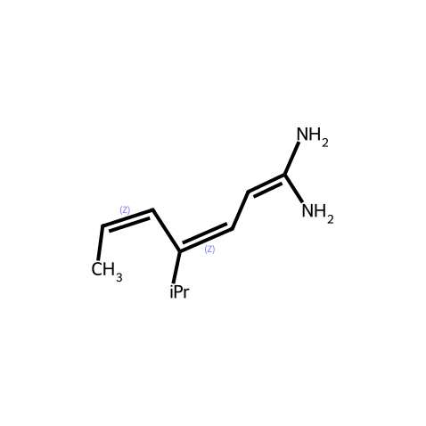 C/C=C\C(=C/C=C(N)N)C(C)C